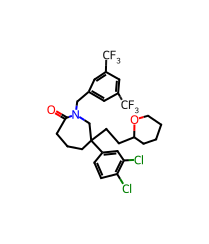 O=C1CCCC(CCC2CCCCO2)(c2ccc(Cl)c(Cl)c2)CN1Cc1cc(C(F)(F)F)cc(C(F)(F)F)c1